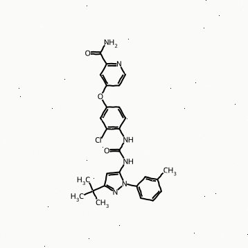 Cc1cccc(-n2nc(C(C)(C)C)cc2NC(=O)Nc2ccc(Oc3ccnc(C(N)=O)c3)cc2Cl)c1